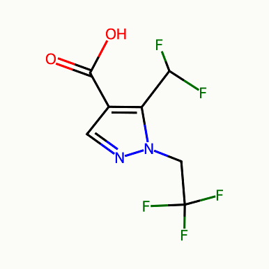 O=C(O)c1cnn(CC(F)(F)F)c1C(F)F